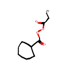 CC(C)CC(=O)OOC(=O)C1CCCCC1